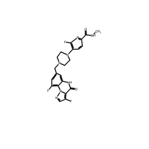 CNC(=O)c1ccc(N2CCN(Cc3cc(F)c4c(c3)[nH]c(=O)c3c(F)cnn34)CC2)c(F)n1